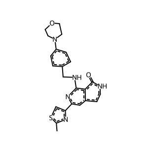 Cc1nc(-c2cc3cc[nH]c(=O)c3c(NCc3ccc(N4CCOCC4)cc3)n2)cs1